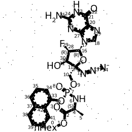 CCCCCCOC(=O)[C@H](C)NP(=O)(OC[C@@]1(N=[N+]=[N-])O[C@@H](n2cnc3c(=O)[nH]c(N)nc32)[C@H](F)[C@@H]1O)Oc1cccc2ccccc12